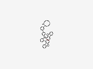 C=C1/C=C\C=C/C/C=C\C=C/1c1cccc(-c2ccc(N(c3ccccc3-c3cccc4oc5ccccc5c34)c3cccc4c3oc3ccccc34)cc2)c1